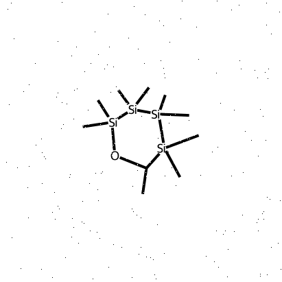 CC1O[Si](C)(C)[Si](C)(C)[Si](C)(C)[Si]1(C)C